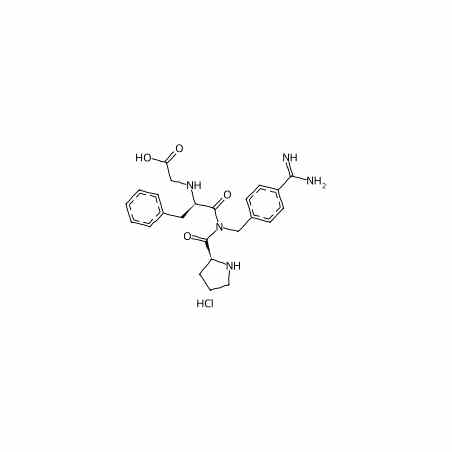 Cl.N=C(N)c1ccc(CN(C(=O)[C@@H]2CCCN2)C(=O)[C@@H](Cc2ccccc2)NCC(=O)O)cc1